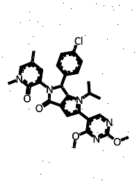 COc1ncc(-c2cc3c(n2C(C)C)C(c2ccc(Cl)cc2)N(c2cc(C)cn(C)c2=O)C3=O)c(OC)n1